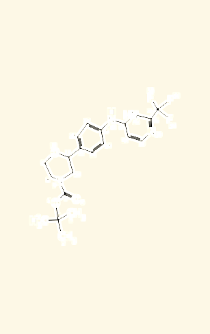 CC(C)(C)OC(=O)N1CCOC(c2ccc(NC3C=CN=C(C(F)(F)F)N3)cc2)C1